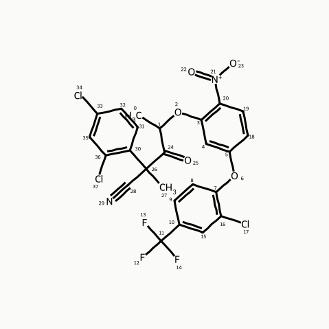 CC(Oc1cc(Oc2ccc(C(F)(F)F)cc2Cl)ccc1[N+](=O)[O-])C(=O)C(C)(C#N)c1ccc(Cl)cc1Cl